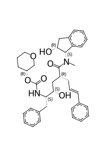 CN(C(=O)[C@H](CC=Cc1ccccc1)C[C@H](O)[C@H](Cc1ccccc1)NC(=O)O[C@@H]1CCCOC1)[C@H]1c2ccccc2C[C@H]1O